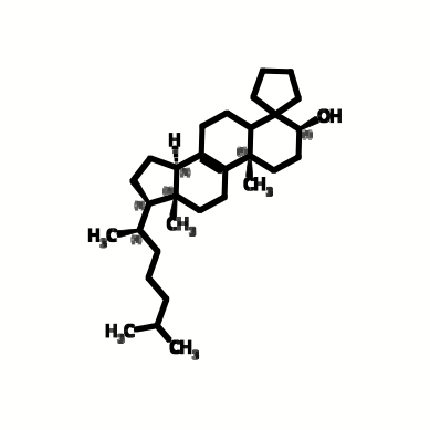 CC(C)CCC[C@@H](C)[C@H]1CC[C@H]2C3=C(CC[C@]12C)[C@@]1(C)CC[C@H](O)C2(CCCC2)C1CC3